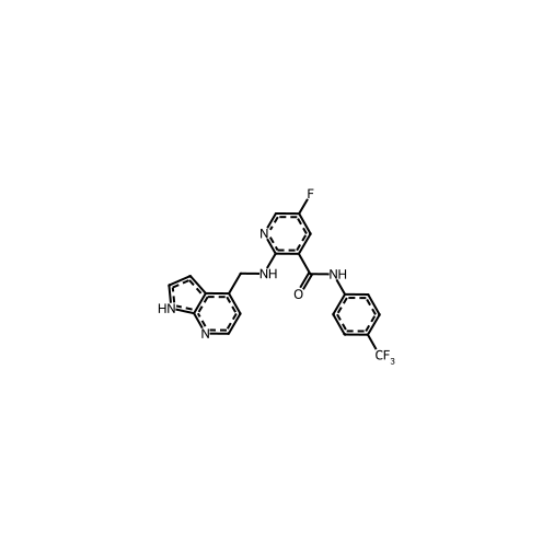 O=C(Nc1ccc(C(F)(F)F)cc1)c1cc(F)cnc1NCc1ccnc2[nH]ccc12